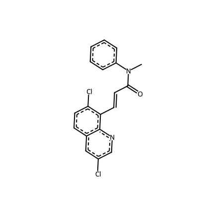 CN(C(=O)/C=C/c1c(Cl)ccc2cc(Cl)cnc12)c1ccccc1